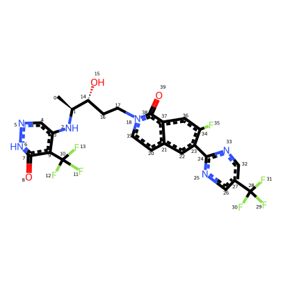 C[C@H](Nc1cn[nH]c(=O)c1C(F)(F)F)[C@H](O)CCn1ccc2cc(-c3ncc(C(F)(F)F)cn3)c(F)cc2c1=O